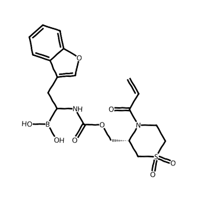 C=CC(=O)N1CCS(=O)(=O)C[C@@H]1COC(=O)NC(Cc1coc2ccccc12)B(O)O